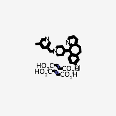 Cc1cncc(CN2CCC(=C3c4ccc(Cl)cc4CCc4cccnc43)CC2)c1.O=C(O)/C=C/C(=O)O.O=C(O)/C=C/C(=O)O